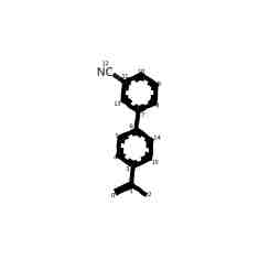 C=C(C)c1ccc(-c2cccc(C#N)c2)cc1